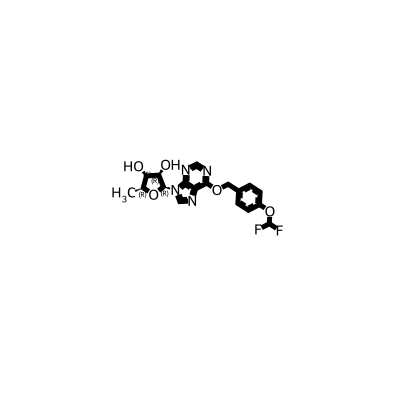 C[C@H]1O[C@@H](n2cnc3c(OCc4ccc(OC(F)F)cc4)ncnc32)[C@H](O)[C@@H]1O